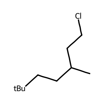 CC(CCCl)CCC(C)(C)C